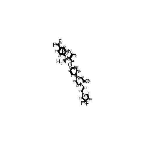 C/C(N)=C(\COc1ccc(N2CCN(CCN3CCC(F)(F)C3)C(=O)C2)nn1)N(N)c1ccc(C(F)F)cc1